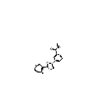 CNC(=O)c1cccc(-c2csc(-c3cnccc3C)n2)c1